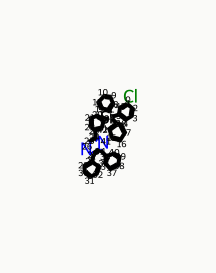 Clc1cccc([Si](c2ccccc2)(c2ccccc2)c2cccc(-c3cnc(-c4ccccc4)c(-c4ccccc4)n3)c2)c1